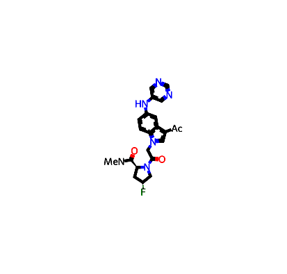 CNC(=O)[C@@H]1C[C@@H](F)CN1C(=O)Cn1cc(C(C)=O)c2cc(Nc3cncnc3)ccc21